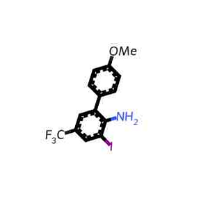 COc1ccc(-c2cc(C(F)(F)F)cc(I)c2N)cc1